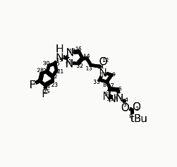 CC(C)(C)C(=O)OCn1cc(C2CN(C(=O)CCc3cnc(NC4Cc5cc(F)c(F)cc5C4)nc3)C2)nn1